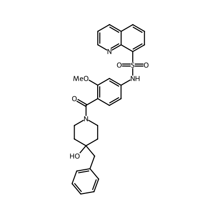 COc1cc(NS(=O)(=O)c2cccc3cccnc23)ccc1C(=O)N1CCC(O)(Cc2ccccc2)CC1